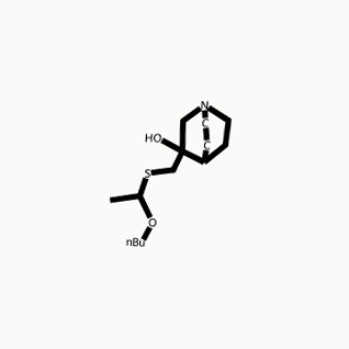 CCCCOC(C)SCC1(O)CN2CCC1CC2